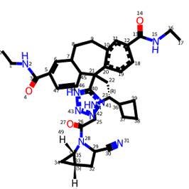 CCNC(=O)C1=CC2CCc3cc(C(=O)NCC)ccc3C(C[C@@H](NCC(=O)N3C(C#N)C[C@@H]4C[C@@H]43)C3CCC3)(c3nnn[nH]3)C2C=C1